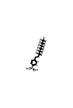 OB(O)c1ccc(CCC(F)(F)C(F)(F)C(F)(F)C(F)(F)C(F)(F)C(F)(F)F)cc1